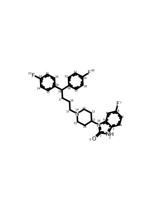 O=c1[nH]c2ccc(F)cc2n1C1CCN(CCCC(c2ccc(F)cc2)c2ccc(F)cc2)CC1